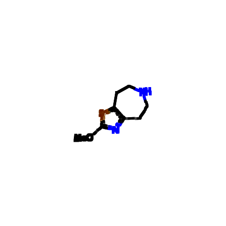 COc1nc2c(s1)CCNCC2